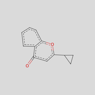 O=c1cc(C2CC2)oc2ccccc12